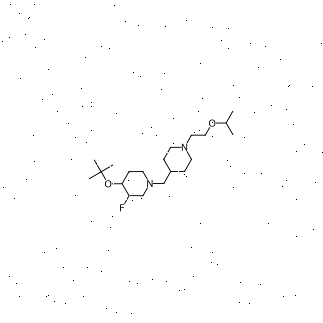 CC(C)OCCN1CCC(CN2CCC(OC(C)(C)C)C(F)C2)CC1